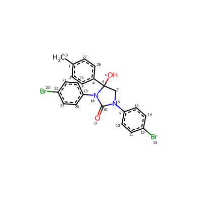 Cc1ccc(C2(O)CN(c3ccc(Br)cc3)C(=O)N2c2ccc(Br)cc2)cc1